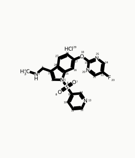 CNCc1cn(S(=O)(=O)c2cccnc2)c2cc(Oc3ncc(F)cn3)ccc12.Cl